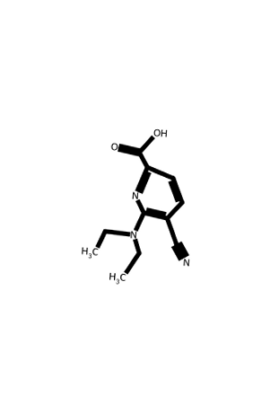 CCN(CC)c1nc(C(=O)O)ccc1C#N